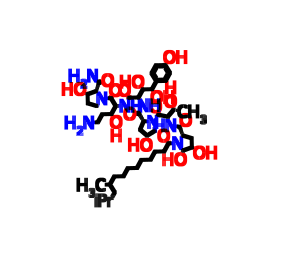 CC(C)CC(C)CCCCCCCCC(=O)N1C(O)[C@H](O)C[C@@H]1C(=O)N[C@H](C(=O)N1C[C@H](O)C[C@H]1C(=O)N[C@H](C(=O)N[C@H](C(=O)N1CC[C@H](O)[C@H]1C(N)=O)[C@H](O)CCN)[C@H](O)[C@@H](O)c1ccc(O)cc1)[C@@H](C)O